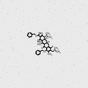 Cc1c(CN(C)C)c(F)c2c(c1OCc1ccccc1)C(=O)C1=C(O)[C@]3(O)C(=O)c4c(OCc5ccccc5)noc4[C@@H](N(C)C)[C@@H]3C[C@@H]1C2